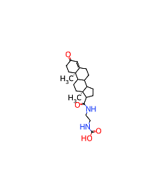 C[C@]12CCC3C(CCC4=CC(=O)CC[C@@]43C)C1CCC2C(=O)NCCNC(=O)O